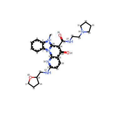 Cn1c2ccccc2n2c3nc(NCC4CCCO4)ccc3c(=O)c(C(=O)NCCN3CCCC3)c12